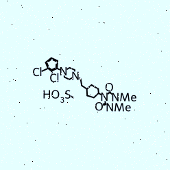 CNC(=O)N(C(=O)NC)C1CCC(CCN2CCN(c3cccc(Cl)c3Cl)CC2)CC1.CS(=O)(=O)O